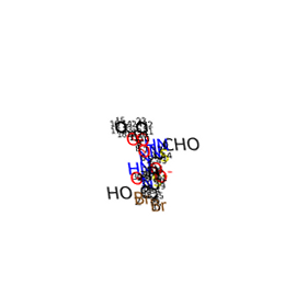 O=CNc1nc(C(=NOCC(=O)OC(c2ccccc2)c2ccccc2)C(=O)NC2C(=O)N3C(C(=O)O)=C(C=C(Br)Br)C[S+]([O-])[C@@H]23)cs1